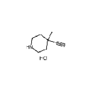 C#CC1(C)CCNCC1.Cl